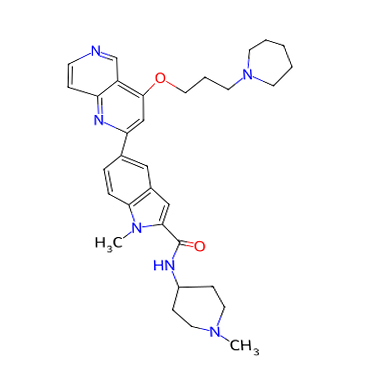 CN1CCC(NC(=O)c2cc3cc(-c4cc(OCCCN5CCCCC5)c5cnccc5n4)ccc3n2C)CC1